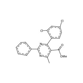 COC(=O)c1c(C)nc(-c2ccccc2)nc1-c1ccc(Cl)cc1Cl